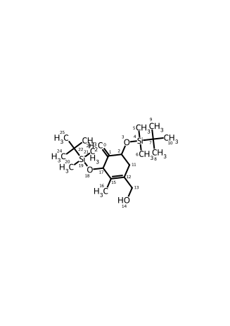 C=C1C(O[Si](C)(C)C(C)(C)C)CC(CO)=C(C)C1O[Si](C)(C)C(C)(C)C